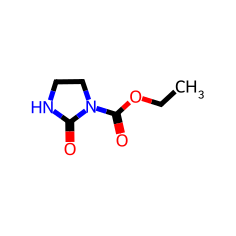 CCOC(=O)N1CCNC1=O